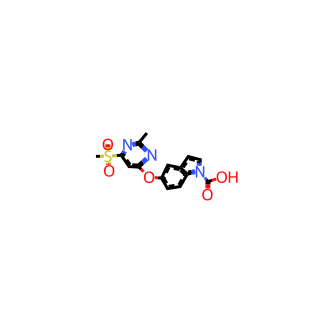 Cc1nc(Oc2ccc3c(ccn3C(=O)O)c2)cc(S(C)(=O)=O)n1